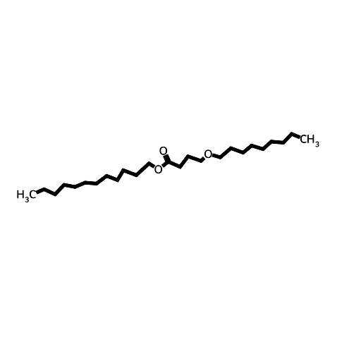 CCCCCCCCCCCCOC(=O)CCCOCCCCCCCCC